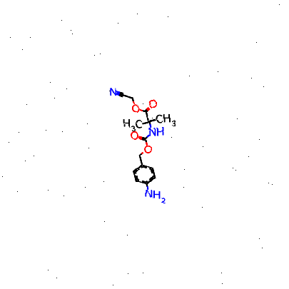 CC(C)(NC(=O)OCc1ccc(N)cc1)C(=O)OCC#N